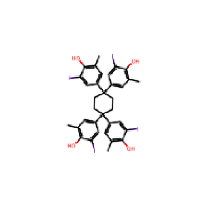 Cc1cc(C2(c3cc(C)c(O)c(I)c3)CCC(c3cc(C)c(O)c(I)c3)(c3cc(C)c(O)c(I)c3)CC2)cc(I)c1O